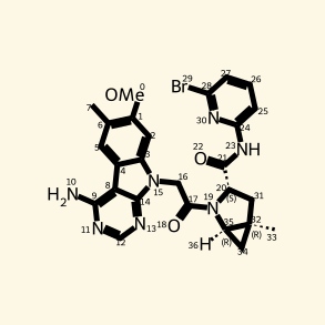 COc1cc2c(cc1C)c1c(N)ncnc1n2CC(=O)N1[C@H](C(=O)Nc2cccc(Br)n2)C[C@@]2(C)C[C@@H]12